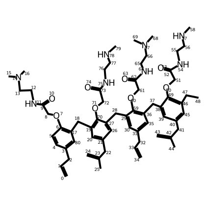 C=CCc1ccc(OCC(=O)NCCN(C)C)c(Cc2cc(CC(=C)C)cc(Cc3cc(CC=C)cc(Cc4cc(CC(=C)C)cc(CC)c4OCC(=O)NCCNC)c3OCC(=O)NCCN(C)C)c2OCC(=O)NCCNC)c1